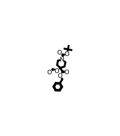 CC(C)(C)OC(=O)N1CCC(OC=O)(C(=O)OCc2ccccc2)CC1